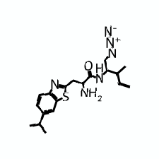 CCC(C)C(CN=[N+]=[N-])NC(=O)C(N)Cc1nc2ccc(C(C)C)cc2s1